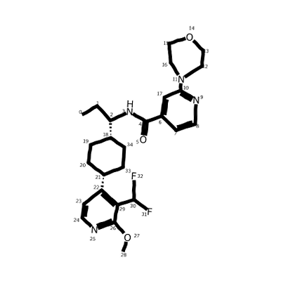 CCC(NC(=O)c1ccnc(N2CCOCC2)c1)[C@H]1CC[C@@H](c2ccnc(OC)c2C(F)F)CC1